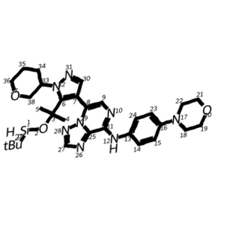 CC(C)(C)[SiH2]OC(C)(C)c1c(-c2cnc(Nc3ccc(N4CCOCC4)cc3)c3ncnn23)cnn1C1CCCOC1